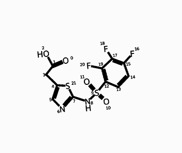 O=C(O)Cc1cnc(NS(=O)(=O)c2ccc(F)c(F)c2F)s1